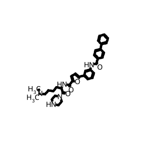 CN(C)CCCCC(NC(=O)c1ccc(-c2cccc(NC(=O)c3ccc(-c4ccccc4)cc3)c2)o1)C(=O)N1CCNCC1